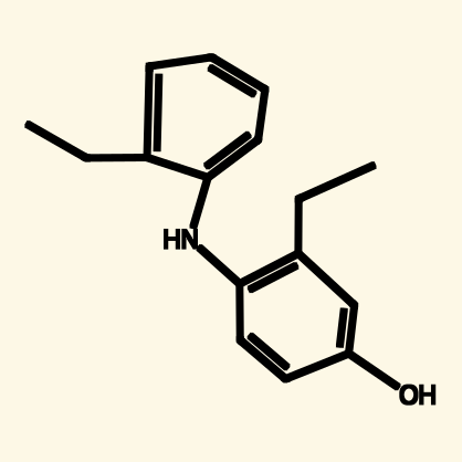 CCc1ccccc1Nc1ccc(O)cc1CC